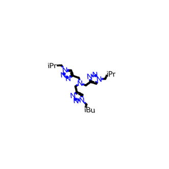 CCC(C)Cn1cc(CN(Cc2cn(CC(C)C)nn2)Cc2cn(CC(C)C)nn2)nn1